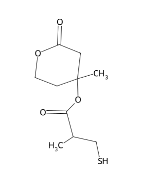 CC(CS)C(=O)OC1(C)CCOC(=O)C1